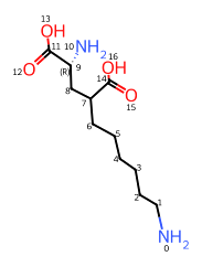 NCCCCCCC(C[C@@H](N)C(=O)O)C(=O)O